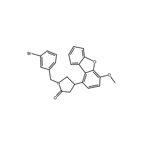 COc1ccc(C2CC(=O)N(Cc3cccc(Br)c3)C2)c2c1oc1ccccc12